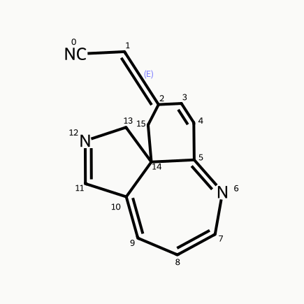 N#C/C=C1/C=CC2=NC=CC=C3C=NCC32C1